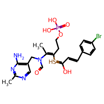 C/C(=C(CCOP(=O)(O)O)/[SH]=C(O)\C=C\c1ccc(Br)cc1)N(C=O)Cc1cnc(C)nc1N